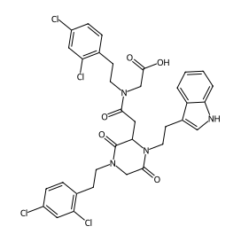 O=C(O)CN(CCc1ccc(Cl)cc1Cl)C(=O)CC1C(=O)N(CCc2ccc(Cl)cc2Cl)CC(=O)N1CCc1c[nH]c2ccccc12